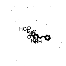 O=C(O)CNC(=O)c1c(=O)cc(CCc2ccccc2)n2[nH]cnc12